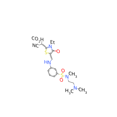 CCn1c(=C(C#N)C(=O)O)sc(=CNc2cccc(S(=O)(=O)N(C)CCN(C)C)c2)c1=O